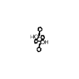 OC1(C#Cc2ccccc2)c2ccccc2C(O)(C#Cc2ccccc2)c2ccccc21